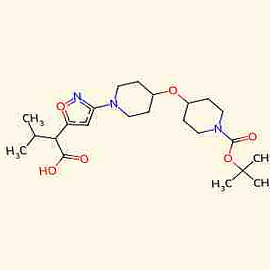 CC(C)C(C(=O)O)c1cc(N2CCC(OC3CCN(C(=O)OC(C)(C)C)CC3)CC2)no1